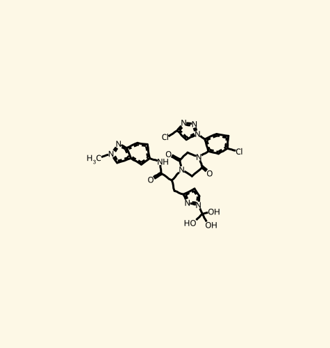 Cn1cc2cc(NC(=O)C(Cc3ccn(C(O)(O)O)n3)N3CC(=O)N(c4cc(Cl)ccc4-n4cc(Cl)nn4)CC3=O)ccc2n1